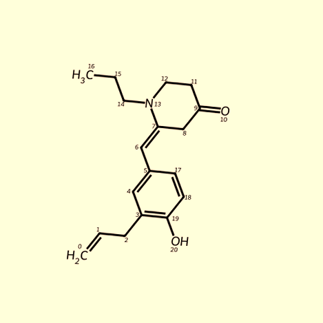 C=CCc1cc(C=C2CC(=O)CCN2CCC)ccc1O